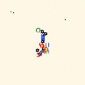 O=C(NS(=O)(=O)c1ccc(N[C@@H](CSc2ccccc2)CN2CCOCC2)c(S(=O)(=O)C(F)(F)F)c1)c1ccc(N2CCN(Cc3ccccc3-c3ccc(Cl)cc3)CC2)cc1